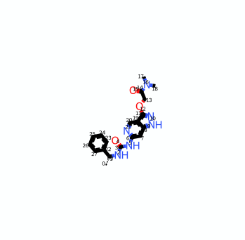 C[C@@H](NC(=O)Nc1cc2[nH]nc(OCC(=O)N(C)C)c2cn1)c1ccccc1